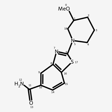 COC1CCCN(c2nc3cc(C(N)=O)ccc3s2)C1